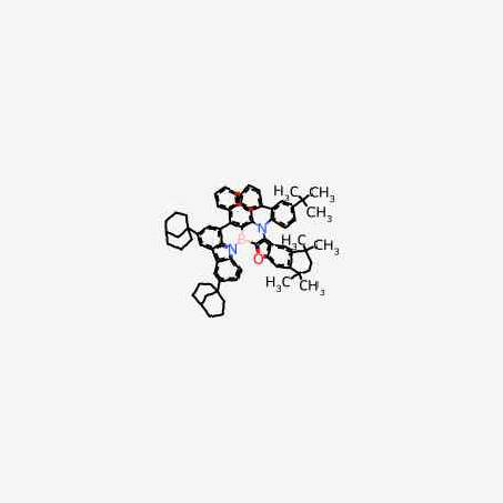 CC(C)(C)c1ccc(N2c3cc4ccccc4c4c3B(c3oc5cc6c(cc5c32)C(C)(C)CCC6(C)C)n2c3ccc(C56CCCC(CCC5)C6)cc3c3cc(C56CCCC(CCC5)C6)cc-4c32)c(-c2ccccc2)c1